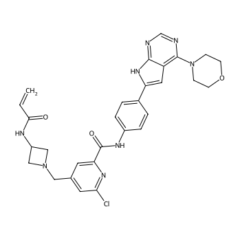 C=CC(=O)NC1CN(Cc2cc(Cl)nc(C(=O)Nc3ccc(-c4cc5c(N6CCOCC6)ncnc5[nH]4)cc3)c2)C1